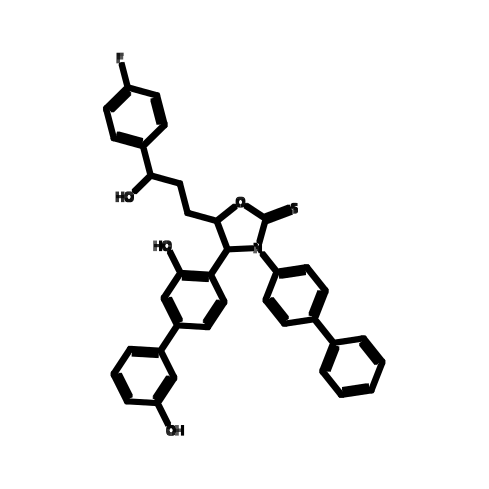 Oc1cccc(-c2ccc(C3C(CCC(O)c4ccc(F)cc4)OC(=S)N3c3ccc(-c4ccccc4)cc3)c(O)c2)c1